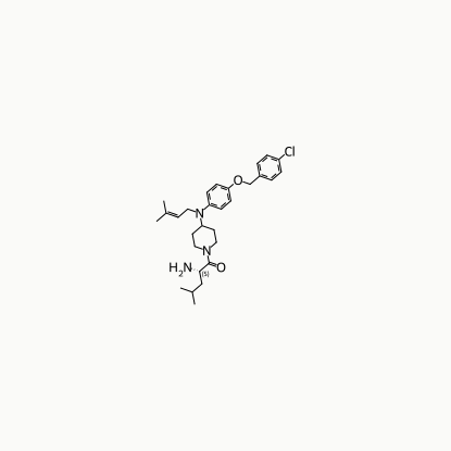 CC(C)=CCN(c1ccc(OCc2ccc(Cl)cc2)cc1)C1CCN(C(=O)[C@@H](N)CC(C)C)CC1